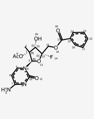 CC(=O)O[C@@]1(C)[C@H](n2ccc(N)nc2=O)O[C@](F)(COC(=O)c2ccccc2)[C@H]1O